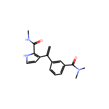 C=C(c1cccc(C(=O)N(C)C)c1)c1cc[nH]c1C(=O)NC